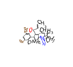 CC=CC1Oc2c(Br)cc(Br)c(OC)c2-c2ccc3c(c21)C(C)=CC(C)(C)N3